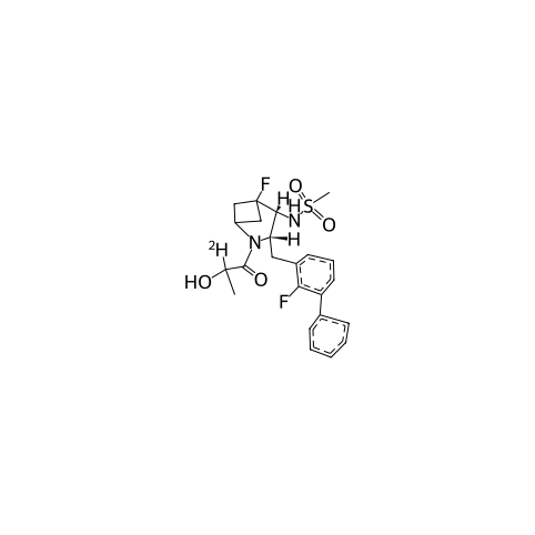 [2H]C(C)(O)C(=O)N1C2CC(F)(C2)[C@H](NS(C)(=O)=O)[C@@H]1Cc1cccc(-c2ccccc2)c1F